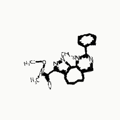 CON(C)C(=O)c1nn(C)c2c1CCCc1cnc(-c3ccccc3)nc1-2